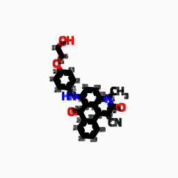 Cn1c(=O)c(C#N)c2c3c(c(Nc4ccc(OCCO)cc4)ccc31)C(=O)c1ccccc1-2